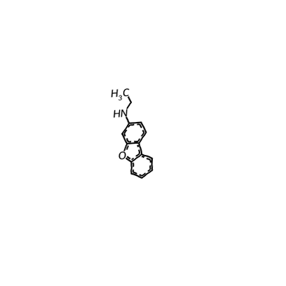 CCNc1ccc2c(c1)oc1ccccc12